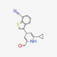 N#Cc1cccc2c(C3C=C(C=O)NC(C4CC4)=C3)csc12